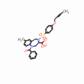 CC#CCOc1ccc(S(=O)(=O)N2Cc3cc(C)ccc3N(C(=O)c3ccccc3)CC2C(=O)O)cc1